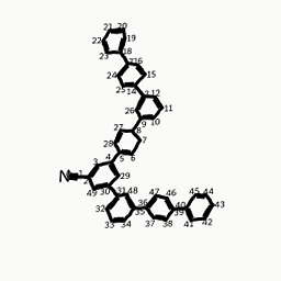 N#Cc1cc(C2=CCC(c3cccc(-c4ccc(-c5ccccc5)cc4)c3)C=C2)cc(-c2cccc(-c3ccc(-c4ccccc4)cc3)c2)c1